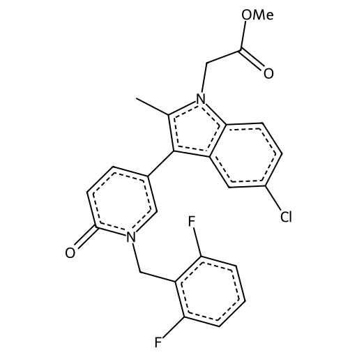 COC(=O)Cn1c(C)c(-c2ccc(=O)n(Cc3c(F)cccc3F)c2)c2cc(Cl)ccc21